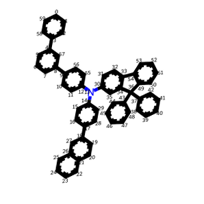 c1ccc(-c2cccc(-c3ccc(N(c4ccc(-c5ccc6ccccc6c5)cc4)c4ccc5c(c4)C(c4ccccc4)(c4ccccc4)c4ccccc4-5)cc3)c2)cc1